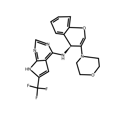 FC(F)(F)c1cc2c(N[C@@H]3C(N4CCOCC4)=COc4ccccc43)ncnc2[nH]1